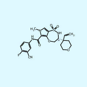 C=CC1([C@@H]2COc3c(cn(C)c3C(=O)Nc3ccc(F)c(C#N)c3)S(=O)(=O)N2)CCOCC1